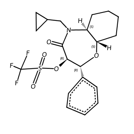 O=C1[C@H](OS(=O)(=O)C(F)(F)F)[C@@H](c2ccccc2)O[C@H]2CCCC[C@@H]2N1CC1CC1